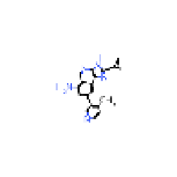 Cc1ccncc1-c1cc(N)c2cnc3[nH]c(C4CC4)nc3c2c1